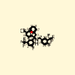 Fc1cc(C(F)(F)F)cc(C(Cc2ccccc2)(NCc2ccc(F)c(C(F)(F)F)c2)c2ccc(Cl)cn2)c1